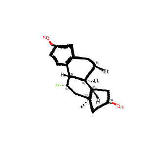 CC[C@@H]1Cc2cc(O)ccc2[C@@H]2[C@@H]1[C@@H]1C[C@@H](O)C[C@@]1(C)C[C@@H]2F